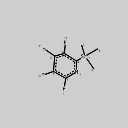 [CH3][Sn]([CH3])([CH3])[c]1nc(F)c(F)c(F)c1F